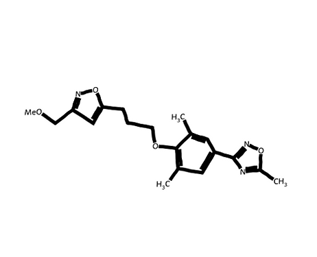 COCc1cc(CCCOc2c(C)cc(-c3noc(C)n3)cc2C)on1